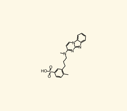 Cc1ccc(S(=O)(=O)O)cc1CCCN(C)c1ccn2c(n1)nc1ccccc12